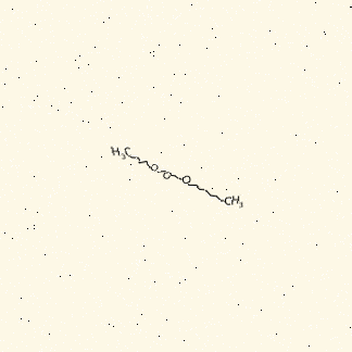 CCCCCCCCOCCOCCOCCCCCC